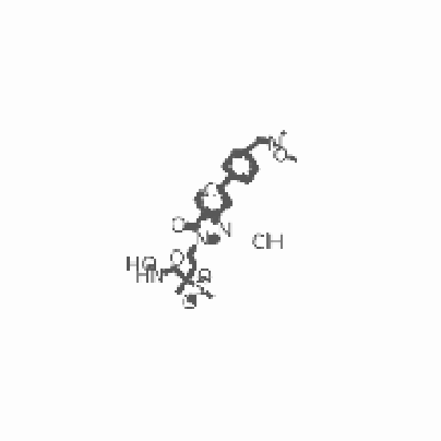 CON(C)Cc1ccc(-c2ccc3c(=O)n(CCC(C)(C(=O)NO)S(C)(=O)=O)cnc3c2)cc1.Cl